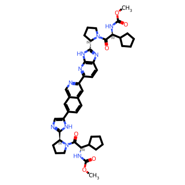 COC(=O)N[C@H](C(=O)N1CCC[C@H]1c1ncc(-c2ccc3cc(-c4ccc5nc([C@@H]6CCCN6C(=O)[C@@H](NC(=O)OC)C6CCCC6)[nH]c5n4)ncc3c2)[nH]1)C1CCCC1